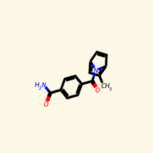 Cc1cc2ccc1n2C(=O)c1ccc(C(N)=O)cc1